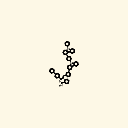 C\N=C(/N=C(\C=C\c1cccc(-c2ccc3c(c2)c2ccccc2n3-c2ccc(-c3cccc4c3c3ccccc3n4-c3ccccc3)cc2)c1)c1ccc(-c2ccccc2)cc1)c1ccccc1